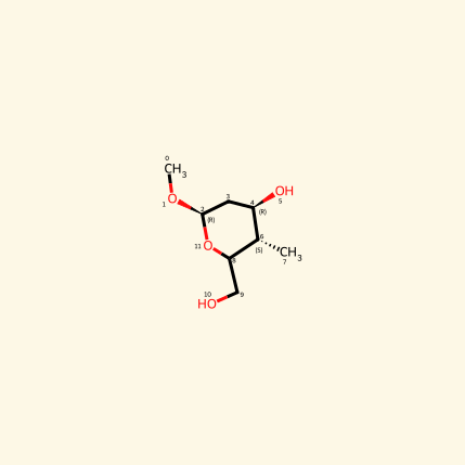 CO[C@H]1C[C@@H](O)[C@H](C)C(CO)O1